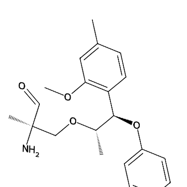 COc1cc(C)ccc1[C@@H](Oc1ccccc1)[C@H](C)OC[C@@](C)(N)C=O